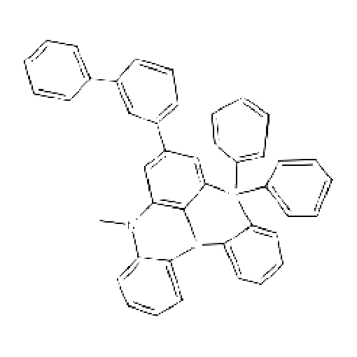 CN1c2ccccc2B2c3ccccc3[Si](c3ccccc3)(c3ccccc3)c3cc(-c4cccc(-c5ccccc5)c4)cc1c32